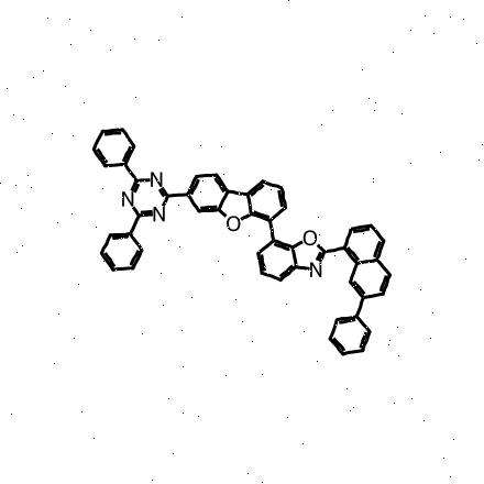 c1ccc(-c2ccc3cccc(-c4nc5cccc(-c6cccc7c6oc6cc(-c8nc(-c9ccccc9)nc(-c9ccccc9)n8)ccc67)c5o4)c3c2)cc1